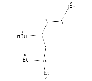 [CH2]C(C)CCC(CCCC)CC(CC)CC